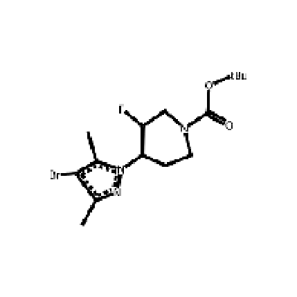 Cc1nn(C2CCN(C(=O)OC(C)(C)C)CC2F)c(C)c1Br